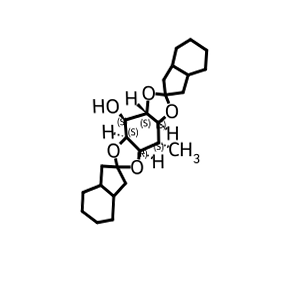 C[C@@H]1[C@H]2OC3(CC4CCCCC4C3)O[C@H]2[C@@H](O)[C@@H]2OC3(CC4CCCCC4C3)O[C@@H]12